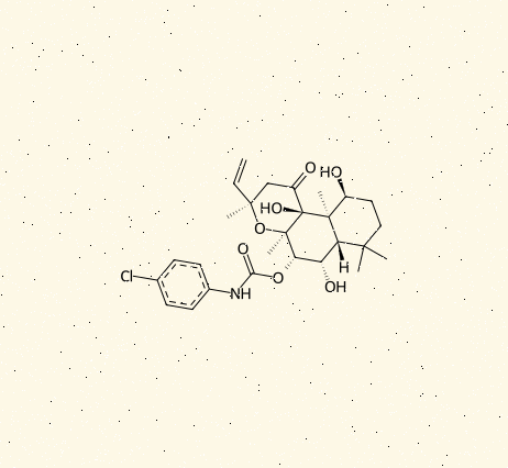 C=C[C@@]1(C)CC(=O)[C@]2(O)[C@@]3(C)[C@@H](O)CCC(C)(C)[C@@H]3[C@H](O)[C@H](OC(=O)Nc3ccc(Cl)cc3)[C@@]2(C)O1